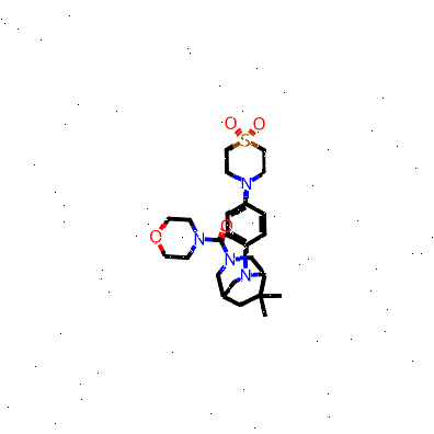 CC1(C)CC2CN(C(=O)N3CCOCC3)CC1N(c1ccc(N3CCS(=O)(=O)CC3)cc1)C2